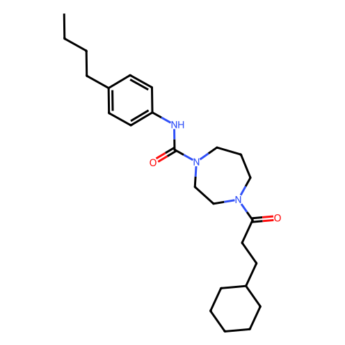 CCCCc1ccc(NC(=O)N2CCCN(C(=O)CCC3CCCCC3)CC2)cc1